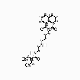 O=C(NCCNCCCCN1C(=O)c2cccc3cccc(c23)C1=O)N(CCl)CCl